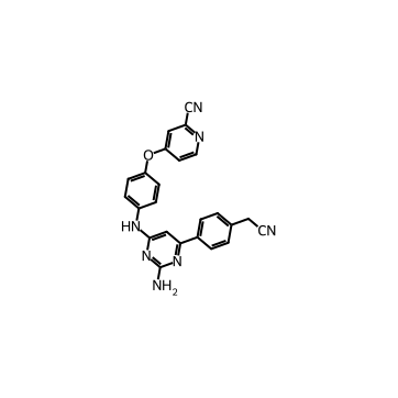 N#CCc1ccc(-c2cc(Nc3ccc(Oc4ccnc(C#N)c4)cc3)nc(N)n2)cc1